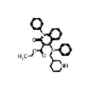 CCOC(=O)c1c(N(CC2CCCNC2)c2ccccc2)c2ccccc2n(-c2ccccc2)c1=O